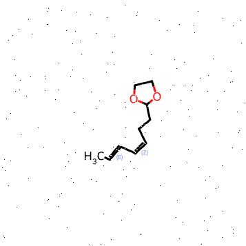 C/C=C/C=C\CCC1OCCO1